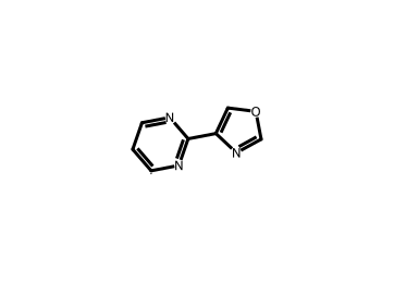 [c]1ccnc(-c2cocn2)n1